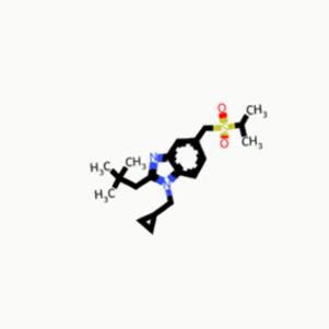 CC(C)S(=O)(=O)Cc1ccc2c(c1)nc(CC(C)(C)C)n2CC1CC1